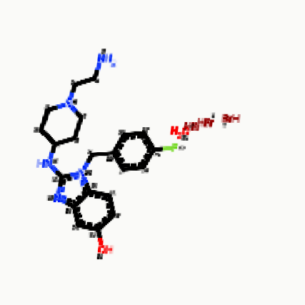 Br.Br.Br.NCCN1CCC(Nc2nc3cc(O)ccc3n2Cc2ccc(F)cc2)CC1.O